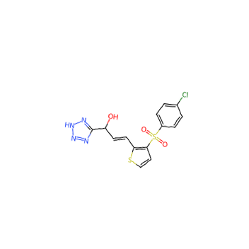 O=S(=O)(c1ccc(Cl)cc1)c1ccsc1C=CC(O)c1nn[nH]n1